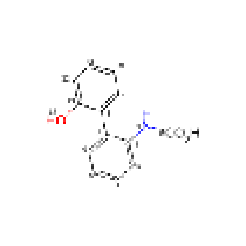 O=C(O)Nc1ccccc1-c1ccccc1O